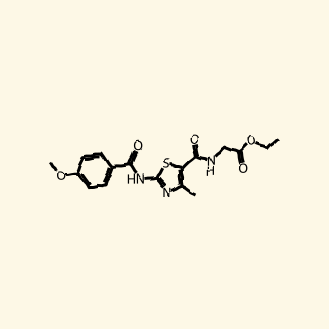 CCOC(=O)CNC(=O)c1sc(NC(=O)c2ccc(OC)cc2)nc1C